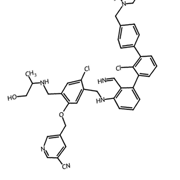 CC(CO)NCc1cc(Cl)c(CNc2cccc(-c3cccc(-c4ccc(CN(C)CCO)cc4)c3Cl)c2C=N)cc1OCc1cncc(C#N)c1